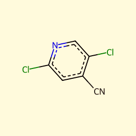 N#Cc1cc(Cl)ncc1Cl